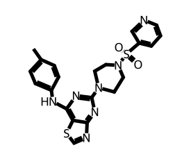 Cc1ccc(Nc2nc(N3CCN(S(=O)(=O)c4cccnc4)CC3)nc3ncsc23)cc1